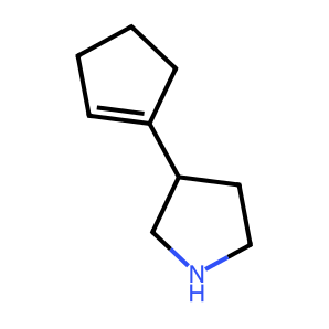 C1=C(C2CCNC2)CCC1